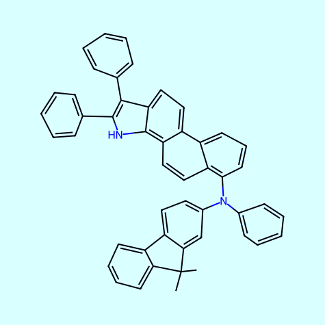 CC1(C)c2ccccc2-c2ccc(N(c3ccccc3)c3cccc4c3ccc3c4ccc4c(-c5ccccc5)c(-c5ccccc5)[nH]c43)cc21